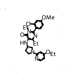 CCOc1ccnc(N2CCC(Nc3c(CC)nc(-c4ccc(OC)cc4Cl)n(CC)c3=O)C2)c1